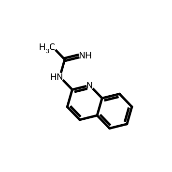 CC(=N)Nc1ccc2ccccc2n1